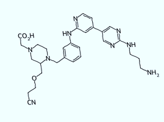 N#CCCOCC1CN(CC(=O)O)CCN1Cc1cccc(Nc2cc(-c3cnc(NCCCN)nc3)ccn2)c1